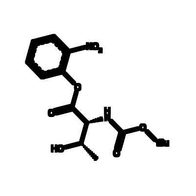 C[C@H](O)[C@@H](NC(=O)OC(C)(C)C)C(=O)Oc1ccccc1[N+](=O)[O-]